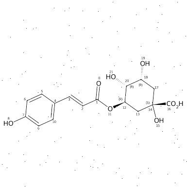 O=C(C=Cc1ccc(O)cc1)O[C@@H]1C[C@](O)(C(=O)O)C[C@@H](O)[C@H]1O